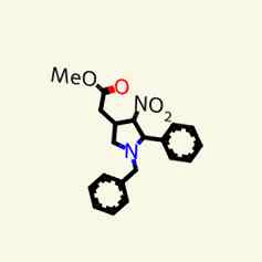 COC(=O)CC1CN(Cc2ccccc2)C(c2ccccc2)C1[N+](=O)[O-]